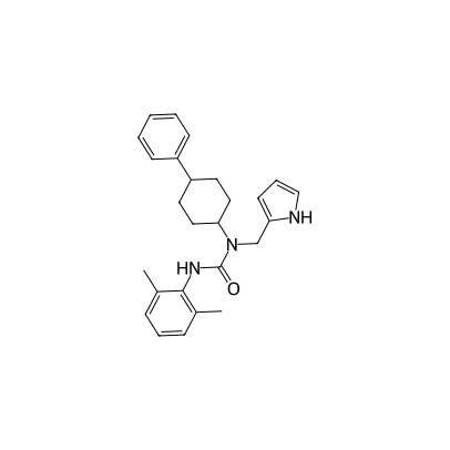 Cc1cccc(C)c1NC(=O)N(Cc1ccc[nH]1)C1CCC(c2ccccc2)CC1